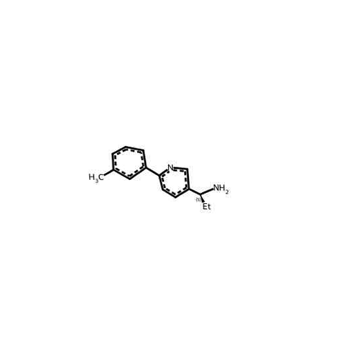 CC[C@H](N)c1ccc(-c2cccc(C)c2)nc1